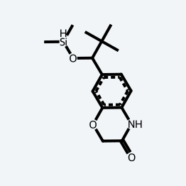 C[SiH](C)OC(c1ccc2c(c1)OCC(=O)N2)C(C)(C)C